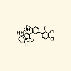 CCc1ccc(-c2ccc(Cl)c(Cl)c2F)cc1C1=C(O)[C@H]2[C@H]3CC[C@H](CC3)[C@H]2C1=O